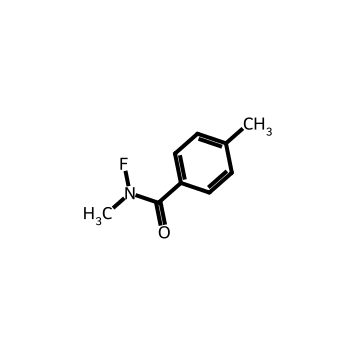 Cc1ccc(C(=O)N(C)F)cc1